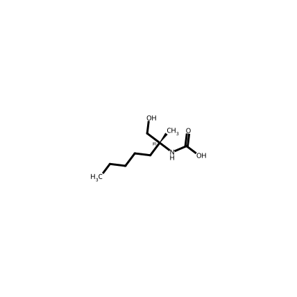 CCCCC[C@](C)(CO)NC(=O)O